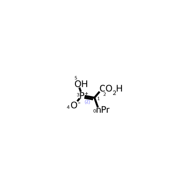 CCC/C(C(=O)O)=[P+](\[O-])O